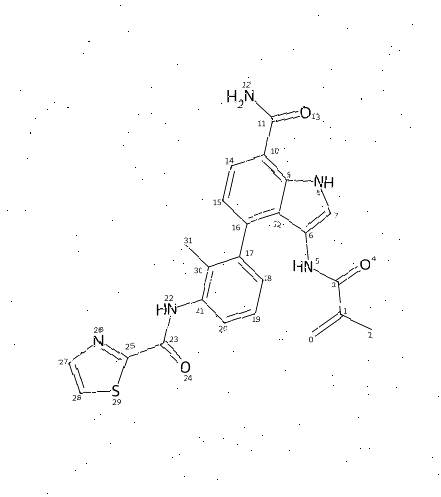 C=C(C)C(=O)Nc1c[nH]c2c(C(N)=O)ccc(-c3cccc(NC(=O)c4nccs4)c3C)c12